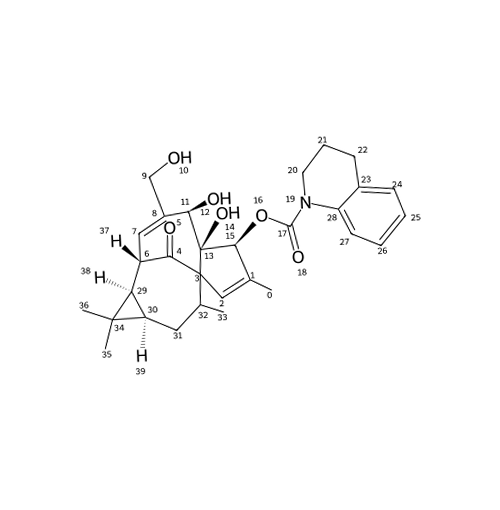 CC1=CC23C(=O)[C@@H](C=C(CO)[C@@H](O)[C@]2(O)[C@H]1OC(=O)N1CCCc2ccccc21)[C@H]1[C@@H](CC3C)C1(C)C